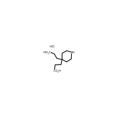 Cl.O=C(O)CCC1(CCC(=O)O)CCNCC1